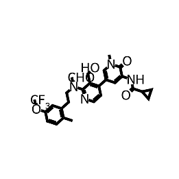 Cc1ccc(OC(F)(F)F)cc1CCN(C=O)c1nccc(-c2cc(NC(=O)C3CC3)c(=O)n(C)c2)c1CO